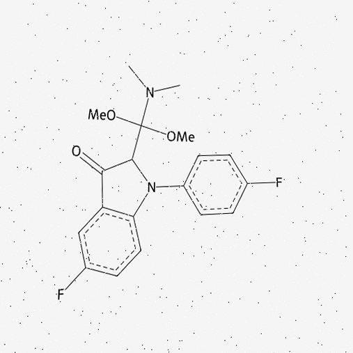 COC(OC)(C1C(=O)c2cc(F)ccc2N1c1ccc(F)cc1)N(C)C